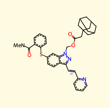 CNC(=O)c1ccccc1Sc1ccc2c(/C=C/c3ccccn3)nn(COC(=O)CC34CC5CC(CC(C5)C3)C4)c2c1